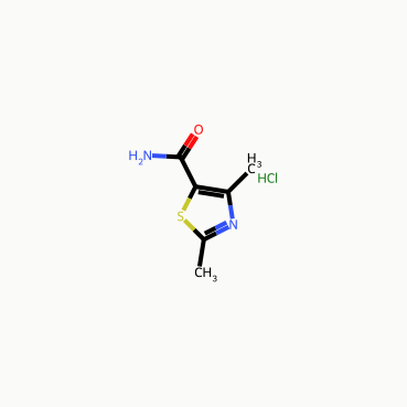 Cc1nc(C)c(C(N)=O)s1.Cl